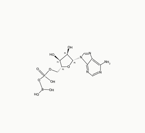 Nc1ncnc2c1ncn2[C@@H]1O[C@H](COP(=O)(O)OB(O)O)[C@@H](O)[C@H]1O